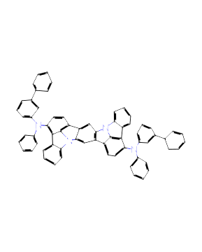 C1=CCC(c2cccc(N(c3ccccc3)c3ccc4c5cc6c(cc5n5c7ccccc7c3c45)c3ccc(N(c4ccccc4)c4cccc(-c5ccccc5)c4)c4c5ccccc5n6c34)c2)C=C1